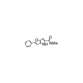 CNC(=O)c1cc2oc(-c3ccccc3)cc2[nH]1